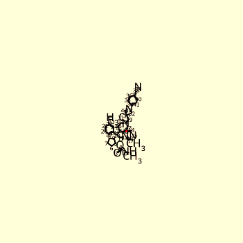 CNC(=O)O[C@H]1CCC[C@@H]1C(Cn1ccnc1C)(c1cccc(F)c1)C1CCN(CC2(C)CN(c3ccc(C#N)cc3)C2)CC1